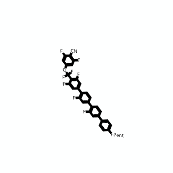 CCCCCc1ccc(-c2ccc(-c3ccc(-c4cc(F)c(C(F)(F)Oc5cc(F)c(C#N)c(F)c5)c(F)c4)c(F)c3)c(F)c2)cc1